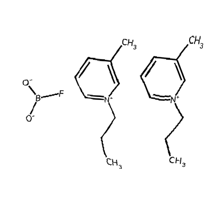 CCC[n+]1cccc(C)c1.CCC[n+]1cccc(C)c1.[O-]B([O-])F